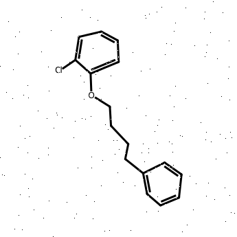 Clc1ccccc1OCCCCc1ccccc1